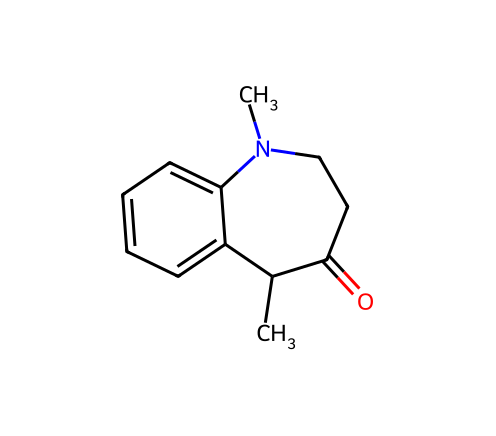 CC1C(=O)CCN(C)c2ccccc21